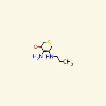 CCCNC1=C(N)C(=O)CSC1